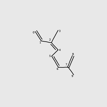 C=C/C(C)=C\C=C/C(=C)C